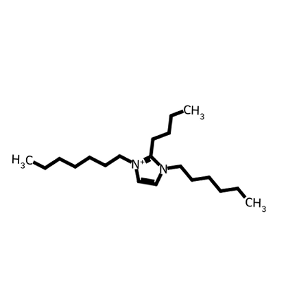 CCCCCCC[n+]1ccn(CCCCCC)c1CCCC